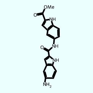 COC(=O)c1cc2cc(NC(=O)c3cc4cc(N)ccc4[nH]3)ccc2[nH]1